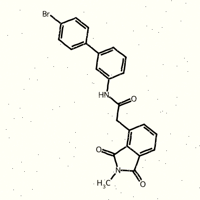 CN1C(=O)c2cccc(CC(=O)Nc3cccc(-c4ccc(Br)cc4)c3)c2C1=O